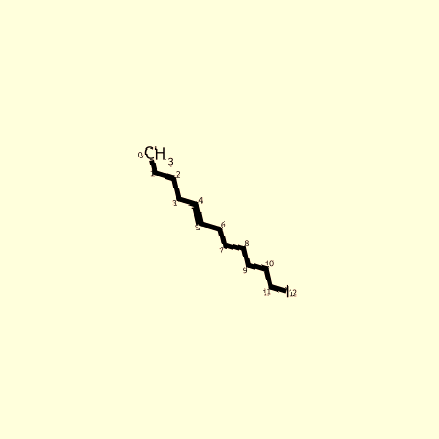 CCCC/C=C/CCCCCCI